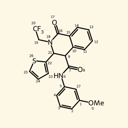 COc1cccc(NC(=O)C2c3ccccc3C(=O)N(CC(F)(F)F)C2c2cccs2)c1